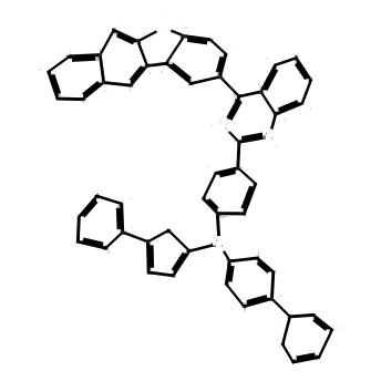 C1=CCC(c2ccc(N(C3=CC=C(c4ccccc4)C3)c3ccc(-c4nc(-c5ccc6oc7cc8ccccc8cc7c6c5)c5ccccc5n4)cc3)cc2)C=C1